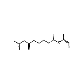 C=C(C)CC(=C)CCCCC(=C)S/C(C)=C\C